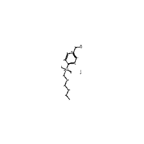 CCCCCC[N+](C)(C)c1ccc(CCl)cc1.[I-]